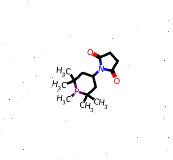 CP1C(C)(C)CC(N2C(=O)CCC2=O)CC1(C)C